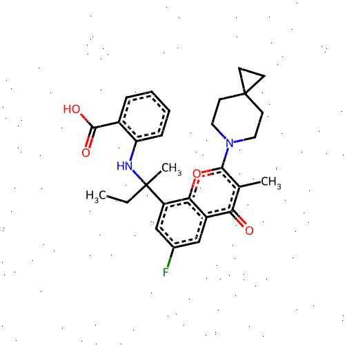 CCC(C)(Nc1ccccc1C(=O)O)c1cc(F)cc2c(=O)c(C)c(N3CCC4(CC3)CC4)oc12